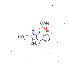 COC(=O)C=Cc1[nH]c(C(=O)O)c(C)c1C(=O)c1cccc(Br)c1